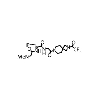 CNCC(=O)N[C@H](CC(C)C)C(=O)NCC(=O)N1CCC2(CC1)CN(C(=O)C(F)(F)F)C2